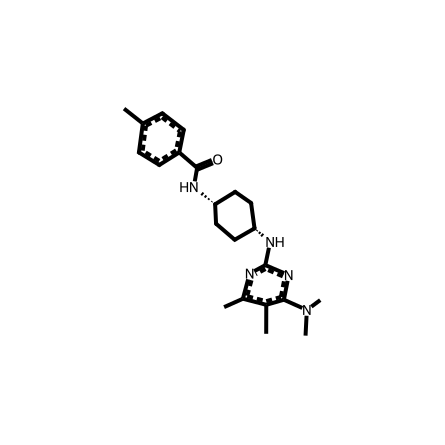 Cc1ccc(C(=O)N[C@H]2CC[C@@H](Nc3nc(C)c(C)c(N(C)C)n3)CC2)cc1